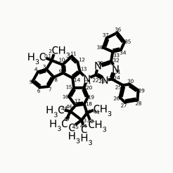 CC1(C)c2ccccc2-c2c1ccc1c2c2cc3c(cc2n1-c1nc(-c2ccccc2)nc(-c2ccccc2)n1)C(C)(C)C(C)(C)C3(C)C